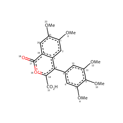 COc1cc2c(-c3cc(OC)c(OC)c(OC)c3)c(C(=O)O)oc(=O)c2cc1OC